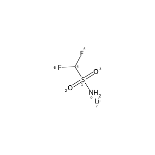 NS(=O)(=O)C(F)F.[Li]